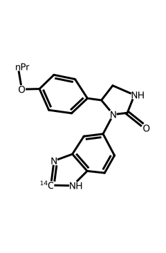 CCCOc1ccc(C2CNC(=O)N2c2ccc3[nH][14cH]nc3c2)cc1